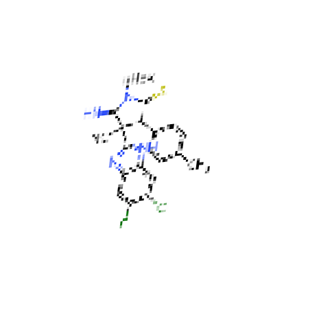 CCCCCCN1C(=N)C(C#N)(c2nc3cc(Cl)c(Cl)cc3[nH]2)C(c2ccc(C)cc2)C1=S